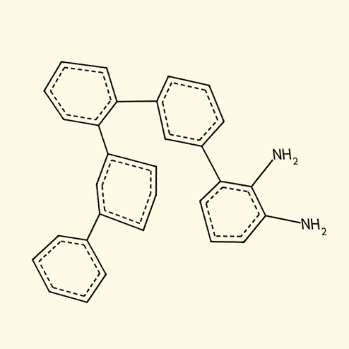 Nc1cccc(-c2cccc(-c3ccccc3-c3cccc(-c4ccccc4)c3)c2)c1N